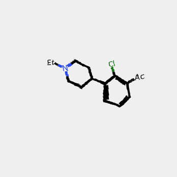 CCN1CCC(c2cccc(C(C)=O)c2Cl)CC1